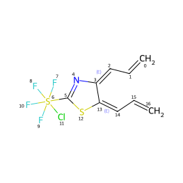 C=C/C=c1/nc(S(F)(F)(F)(F)Cl)s/c1=C/C=C